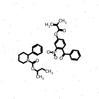 C=C(C)C(=O)Oc1ccc(C(=O)c2ccccc2)c([N+](=O)[O-])c1.CCC(C)OC(=O)N1CCCCC1c1ccccc1